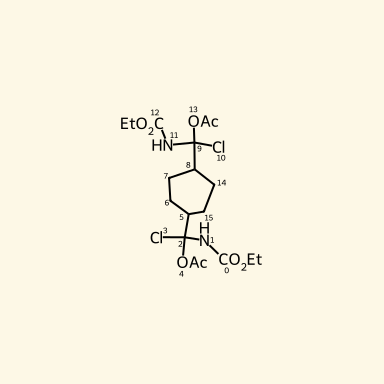 CCOC(=O)NC(Cl)(OC(C)=O)C1CCC(C(Cl)(NC(=O)OCC)OC(C)=O)CC1